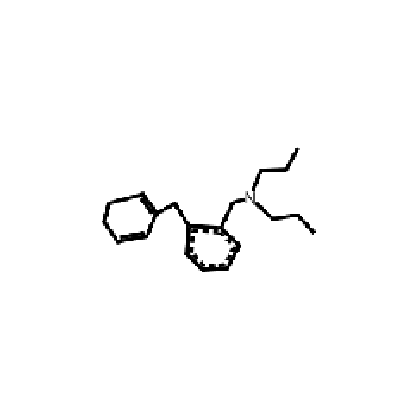 CCCN(CCC)Cc1ccccc1CC1=CCCC=C1